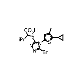 Cc1cc(-n2c(Br)nnc2SC(C(=O)O)C(C)C)sc1C1CC1